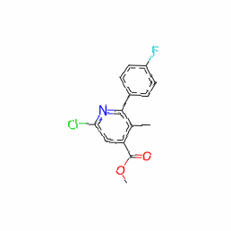 COC(=O)c1cc(Cl)nc(-c2ccc(F)cc2)c1C